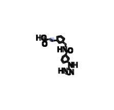 O=C(O)/C=C/c1cccc(CNC(=O)c2cccc(NC3=NCCN3)c2)c1